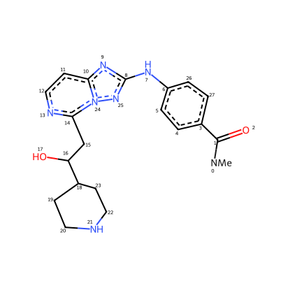 CNC(=O)c1ccc(Nc2nc3ccnc(CC(O)C4CCNCC4)n3n2)cc1